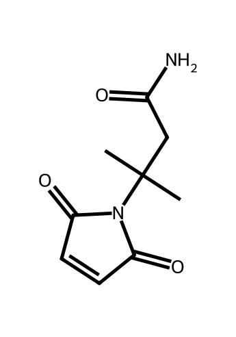 CC(C)(CC(N)=O)N1C(=O)C=CC1=O